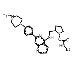 CCNC(=O)ON1CCCC1CNc1nc(-c2ccc(N3CCN(C)CC3)cc2)cc2ncccc12